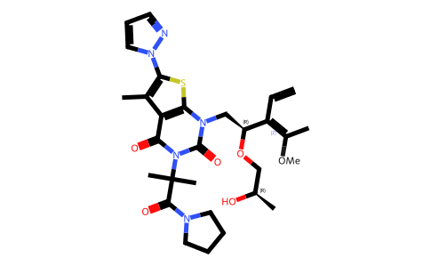 C=C/C(=C(\C)OC)[C@H](Cn1c(=O)n(C(C)(C)C(=O)N2CCCC2)c(=O)c2c(C)c(-n3cccn3)sc21)OC[C@@H](C)O